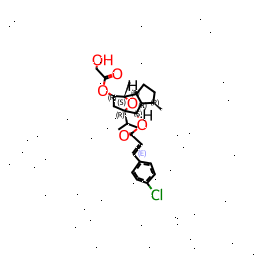 CC(C)[C@@]12C[C@@H](OC(=O)CO)[C@@](C)(O1)[C@@H]1CC[C@@H](C)[C@H]1[C@@H]2OC(=O)/C=C/c1ccc(Cl)cc1